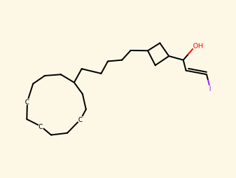 OC(C=CI)C1CC(CCCCCC2CCCCCCCCCCC2)C1